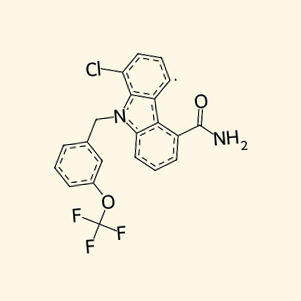 NC(=O)c1cccc2c1c1[c]ccc(Cl)c1n2Cc1cccc(OC(F)(F)F)c1